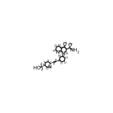 CC(C)(O)c1ccc(C#Cc2cccc(-n3cc(C(N)=O)c(=O)c4cccnc43)c2)nc1